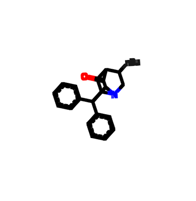 CCCCC1CN2CCC1C(=O)C2C(c1ccccc1)c1ccccc1